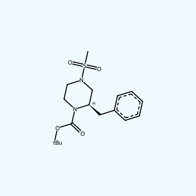 CC(C)(C)OC(=O)N1CCN(S(C)(=O)=O)C[C@H]1Cc1ccccc1